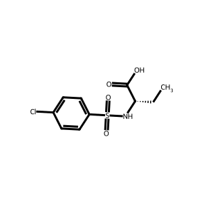 CC[C@H](NS(=O)(=O)c1ccc(Cl)cc1)C(=O)O